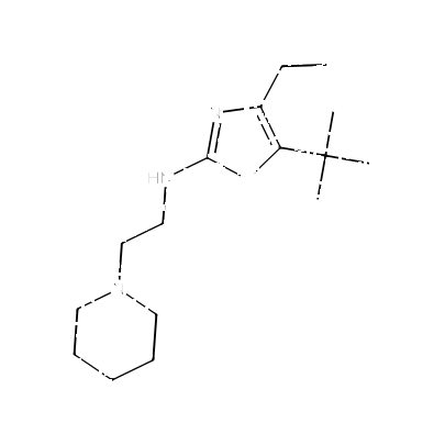 CCc1nc(NCCN2CCCCC2)sc1C(C)(C)C